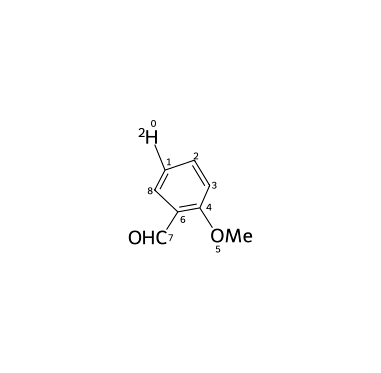 [2H]c1ccc(OC)c(C=O)c1